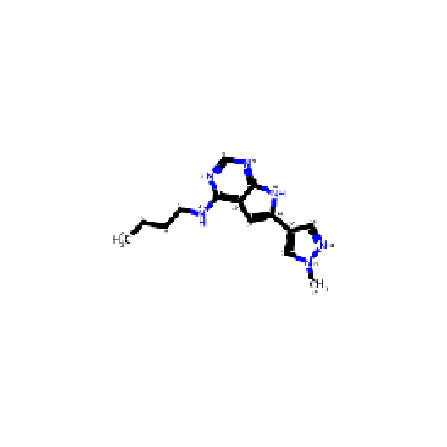 CCCCNc1ncnc2[nH]c(-c3cnn(C)c3)cc12